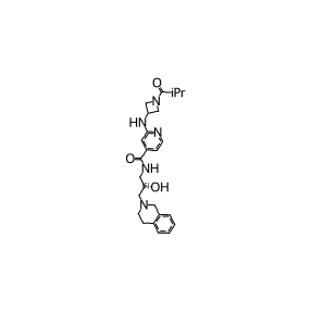 CC(C)C(=O)N1CC(Nc2cc(C(=O)NC[C@H](O)CN3CCc4ccccc4C3)ccn2)C1